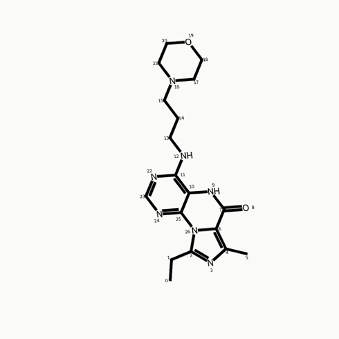 CCc1nc(C)c2c(=O)[nH]c3c(NCCCN4CCOCC4)ncnc3n12